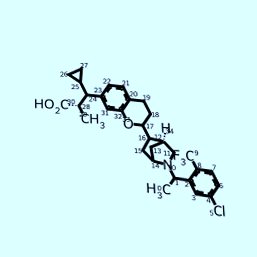 CC(c1cc(Cl)ccc1C(F)(F)F)N1C[C@H]2CC1CC2C1CCc2ccc(C(C3CC3)[C@H](C)C(=O)O)cc2O1